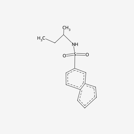 CCC(C)NS(=O)(=O)c1ccc2ccccc2c1